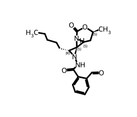 CCCCC[C@H]1N(NC(=O)c2ccccc2C=O)[C@@]12[C@@H]1C[C@H](C)OC(=O)N12